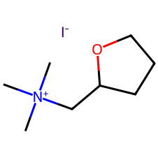 C[N+](C)(C)CC1CCCO1.[I-]